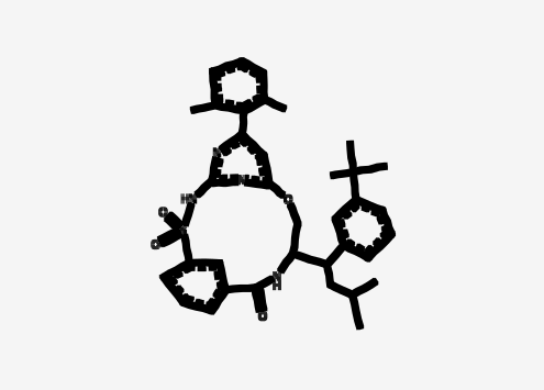 Cc1cccc(C)c1-c1cc2nc(n1)NS(=O)(=O)c1cccc(c1)C(=O)NC(C(CC(C)C)c1cccc(C(C)(C)C)c1)CO2